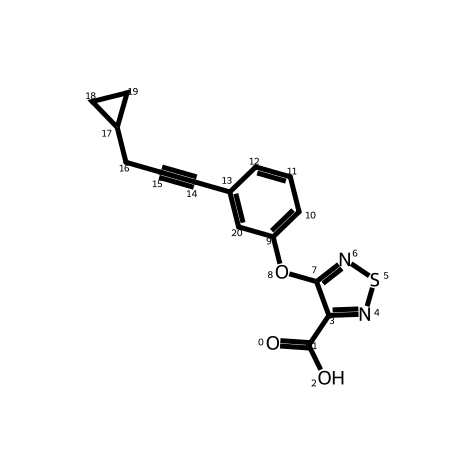 O=C(O)c1nsnc1Oc1cccc(C#CCC2CC2)c1